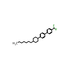 CCCCCCCC1CCC(c2ccc(-c3ccc(C(F)F)cc3)cc2)CC1